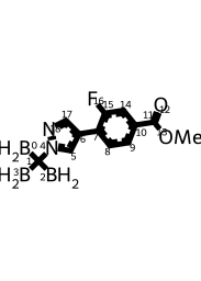 BC(B)(B)n1cc(-c2ccc(C(=O)OC)cc2F)cn1